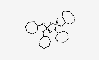 O=P(OC1CCCCCC1)(OC1CCCCCC1)OP(=O)(OC1CCCCCC1)OC1CCCCCC1